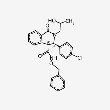 CC(O)CN1C(=O)c2ccccc2[C@@H](C(=O)NOCc2ccccc2)[C@@H]1c1ccc(Cl)cc1